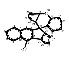 Clc1c2c(cc3ccccc13)C1(c3ccccc3OC3C=CC=CC31)c1ccccc1-2